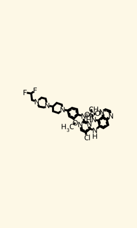 COc1cc(N2CCC(N3CCN(CC(F)F)CC3)CC2)ccc1Nc1ncc(Cl)c(Nc2ccc3nccnc3c2NS(C)(=O)=O)n1